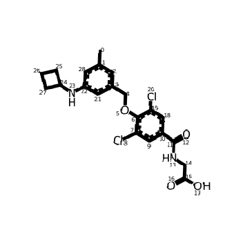 Cc1cc(COc2c(Cl)cc(C(=O)NCC(=O)O)cc2Cl)cc(NC2CCC2)c1